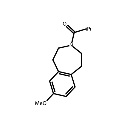 COc1ccc2c(c1)CCN(C(=O)C(C)C)CC2